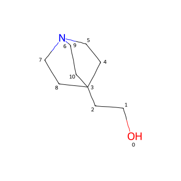 OCCC12CCN(CC1)CC2